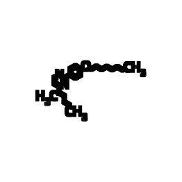 CCCCCCCCOc1ccc(-c2nccc(C(C)CCCC)n2)cc1